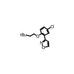 CC(C)(C)CCOc1ccc(Cl)cc1-c1ccon1